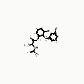 CC(NC(=O)O)C(=O)Nc1cccc(Br)c1Nc1cncc(F)c1